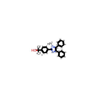 CCCn1c(-c2ccc(C(O)(C(F)(F)F)C(F)(F)F)cc2)nc(-c2ccccc2)c1-c1ccccc1